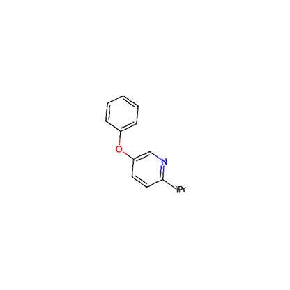 CC(C)c1ccc(Oc2ccccc2)cn1